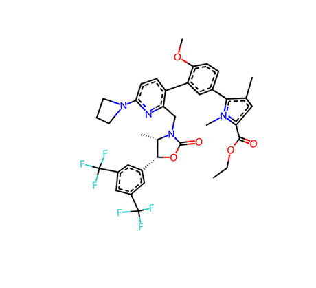 CCOC(=O)c1cc(C)c(-c2ccc(OC)c(-c3ccc(N4CCC4)nc3CN3C(=O)O[C@H](c4cc(C(F)(F)F)cc(C(F)(F)F)c4)[C@@H]3C)c2)n1C